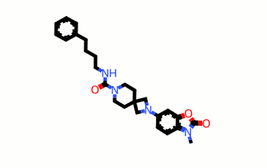 Cn1c(=O)oc2cc(N3CC4(CCN(C(=O)NCCCCc5ccccc5)CC4)C3)ccc21